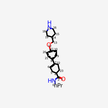 CCCNC(=O)C1CC=C(c2ccc(OCC3CCNCC3)cc2)CC1